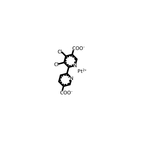 O=C([O-])c1ccc(-c2ncc(C(=O)[O-])c(Cl)c2Cl)nc1.[Pt+2]